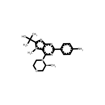 C[C@H]1COCCN1c1nc(-c2ccc(N)cc2)nc2nc(C(C)(C)O)n(C)c12